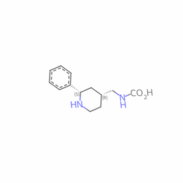 O=C(O)NC[C@@H]1CCN[C@H](c2ccccc2)C1